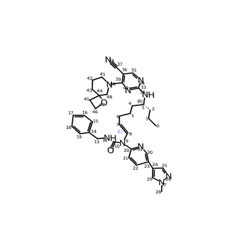 CCC[C@H](CCC/C=C/N(C(=O)NCc1ccccc1)c1ccc(-c2cnn(C)c2)cn1)Nc1ncc(C#N)c(N2CCCC3(CCO3)C2)n1